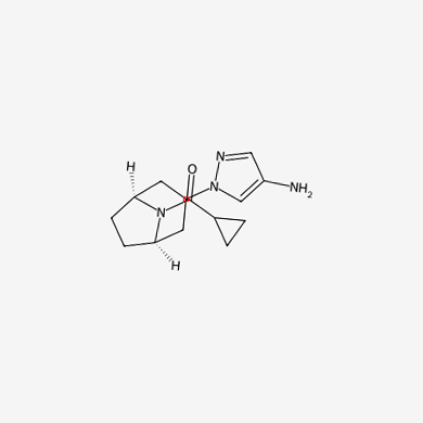 Nc1cnn(C2C[C@H]3CC[C@@H](C2)N3C(=O)C2CC2)c1